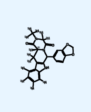 [2H]c1c([2H])c([2H])c2c3c([nH]c2c1[2H])C(c1ccc2c(c1)OCO2)N1C(=O)C([2H])([2H])N(C([2H])([2H])[2H])C(=O)[C@@]1([2H])C3([2H])[2H]